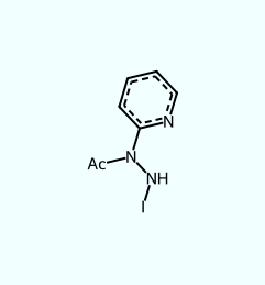 CC(=O)N(NI)c1ccccn1